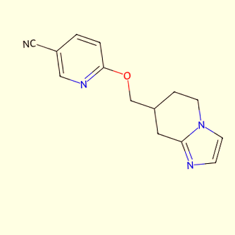 N#Cc1ccc(OCC2CCn3ccnc3C2)nc1